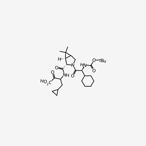 CC(C)(C)OC(=O)N[C@H](C(=O)N1CC2[C@@H]([C@H]1C(=O)NC(CC1CC1)C(=O)C(=O)O)C2(C)C)C1CCCCC1